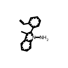 C=Cc1ccccc1-c1c(C)c2ccccc2n1N